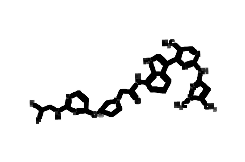 Cc1cnc(Nc2cc(C)n(C)n2)nc1-c1c[nH]c2c(NC(=O)CN3CC[C@H](Oc4ccnc(NCC(F)F)n4)C3)cccc12